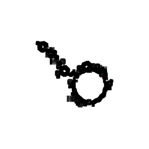 CO[C@H]1C[C@@H]2CC[C@@H](C)[C@@](O)(O2)C(=O)C(=O)N2CCCC[C@H]2C(=O)O[C@H]([C@H](C)C[C@@H]2CC[C@@H](OC(=O)NCc3cnc(N4CCN(C)CC4)nc3)[C@H](OC)C2)CC(=O)[C@H](C)/C=C(\C)[C@@H](O)[C@@H](OC)C(=O)C(C)C[C@H](C)/C=C/C=C/C=C/1C